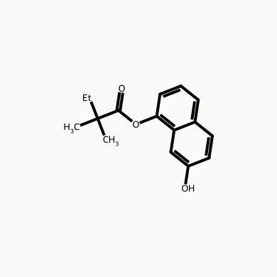 CCC(C)(C)C(=O)Oc1cccc2ccc(O)cc12